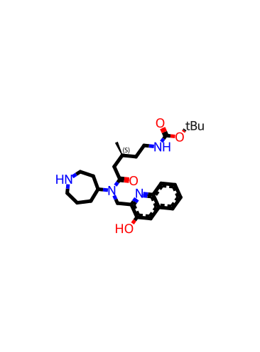 C[C@@H](CCNC(=O)OC(C)(C)C)CC(=O)N(Cc1nc2ccccc2cc1O)C1CCCNCC1